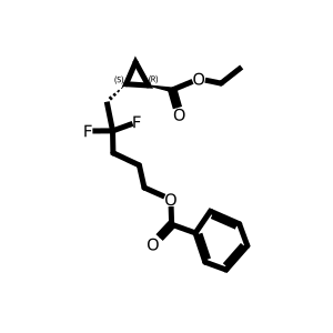 CCOC(=O)[C@@H]1C[C@H]1CC(F)(F)CCCOC(=O)c1ccccc1